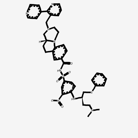 CN(C)CC[C@H](CSc1ccccc1)Nc1ccc(S(=O)(=O)NC(=O)c2ccc3c(c2)CC[C@@H]2CN(Cc4cccnc4-c4ccncc4)CCN32)cc1[N+](=O)[O-]